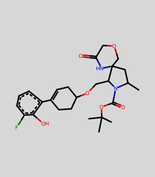 CC1CC2(COCC(=O)N2)C(COC2CC=C(c3cccc(F)c3O)CC2)N1C(=O)OC(C)(C)C